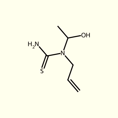 C=CCN(C(N)=S)C(C)O